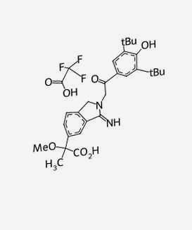 COC(C)(C(=O)O)c1ccc2c(c1)C(=N)N(CC(=O)c1cc(C(C)(C)C)c(O)c(C(C)(C)C)c1)C2.O=C(O)C(F)(F)F